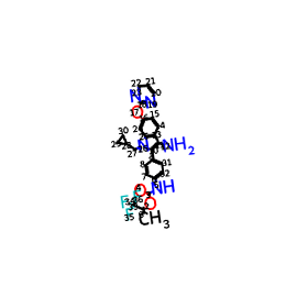 C[C@@H](OC(=O)Nc1ccc(-c2c(N)c3ccc(Oc4ncccn4)cc3n2CC2CC2)cc1)C(F)(F)F